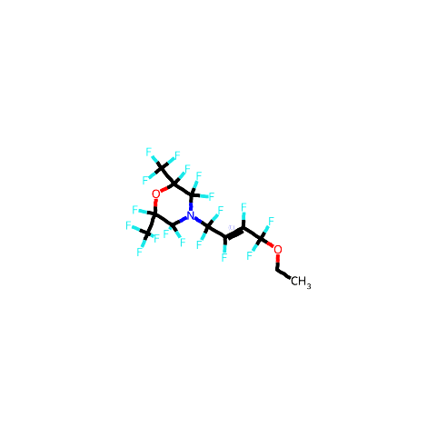 CCOC(F)(F)/C(F)=C(\F)C(F)(F)N1C(F)(F)C(F)(C(F)(F)F)OC(F)(C(F)(F)F)C1(F)F